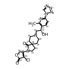 Cc1nc(-n2cnnn2)ccc1[C@@H](O)CN1CCC2(CC1)CCN(C1=C(Cl)C(=O)OC1)C2=O